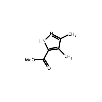 [CH2]c1n[nH]c(C(=O)OC)c1C